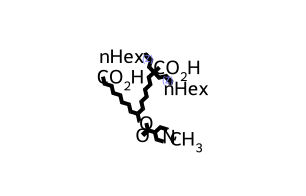 CCCCCC/C=C\CC(C/C=C\CCCCCC)(CCCCCCC(CCCCCCCC(=O)O)COC(=O)C1CCN(C)CC1)C(=O)O